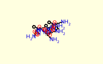 CC(=O)CN(C[C@H](Cc1ccccc1)NC(=O)[C@H](CCc1ccccc1)NC(=O)CN(C[C@H](CCCCN)NC(=O)[C@H](CCCCN)NC(=O)CN(C[C@H](Cc1ccccc1)NC(=O)[C@@H](N)CCCCN)S(=O)(=O)c1ccc(C)cc1)S(=O)(=O)c1ccc(C)cc1)S(=O)(=O)CCN